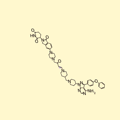 Nc1ncnc2c1c(-c1ccc(Oc3ccccc3)cc1)nn2C1CCN(CC2CCN(/C=C/C(=O)CN3CCN(c4ccc5c(c4)CN(C4CCC(=O)NC4=O)C5=O)CC3)CC2)CC1